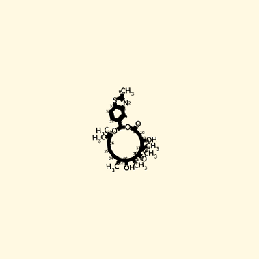 Cc1nc2cc(C3OC(=O)CC(O)C(C)(C)C(=O)C(C)C(O)C(C)CCCC(C)(C)O3)ccc2s1